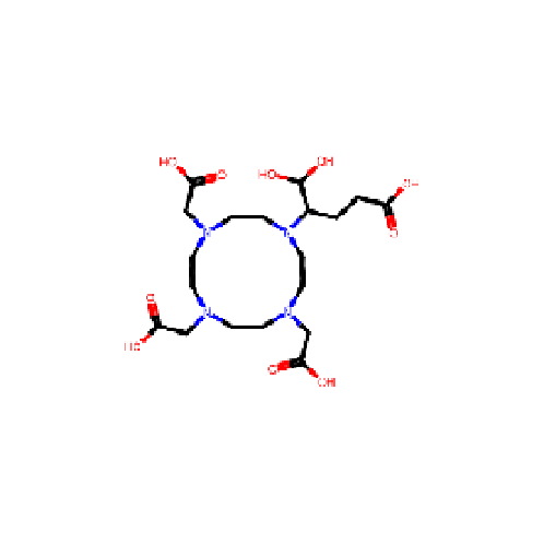 O=C(O)CCC(C(O)O)N1CCN(CC(=O)O)CCN(CC(=O)O)CCN(CC(=O)O)CC1